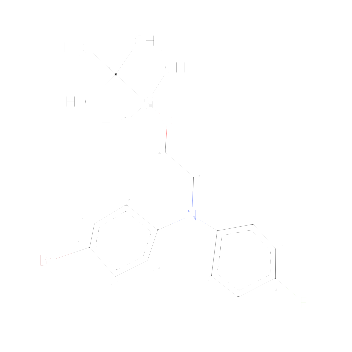 CC(C)(C)[Si](C)(C)OCCN(c1ccc(F)cc1)c1ccc(Br)cc1